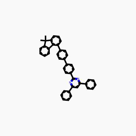 CC1(C)c2ccccc2-c2c(-c3ccc(-c4ccc(-c5nc(-c6ccccc6)cc(-c6ccccc6)n5)cc4)cc3)cccc21